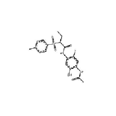 CCC(C(=O)Nc1cc(O)c(NC(C)=O)cc1F)S(=O)(=O)c1ccc(C)cc1